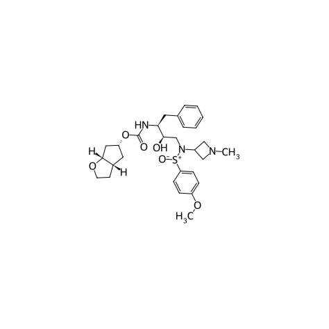 COc1ccc([S+]([O-])N(C[C@@H](O)[C@H](Cc2ccccc2)NC(=O)O[C@@H]2C[C@@H]3CCO[C@@H]3C2)C2CN(C)C2)cc1